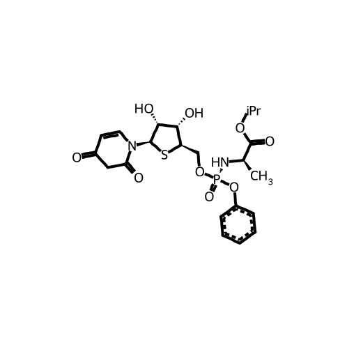 CC(C)OC(=O)[C@@H](C)N[P@](=O)(OC[C@H]1S[C@@H](N2C=CC(=O)CC2=O)[C@H](O)[C@@H]1O)Oc1ccccc1